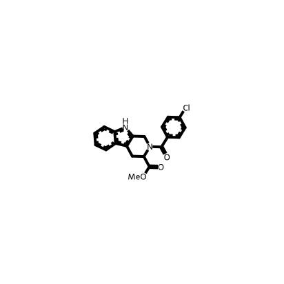 COC(=O)C1Cc2c([nH]c3ccccc23)CN1C(=O)c1ccc(Cl)cc1